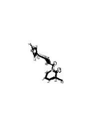 CC1=CCCN(C(=O)/C=C/c2cnn(C)c2)C1=O